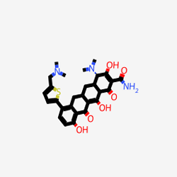 CN(C)Cc1ccc(-c2ccc(O)c3c2CC2CC4C(C(=O)C(C(N)=O)=C(O)[C@H]4N(C)C)C(O)=C2C3=O)s1